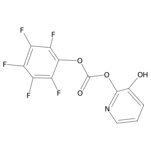 O=C(Oc1ncccc1O)Oc1c(F)c(F)c(F)c(F)c1F